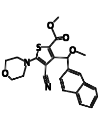 COC(=O)c1sc(N2CCOCC2)c(C#N)c1C(OC)c1ccc2ccccc2c1